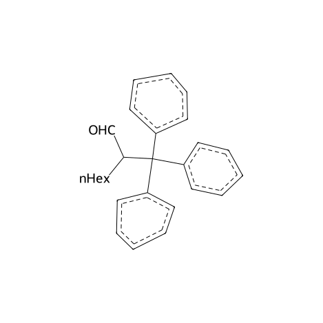 CCCCCCC(C=O)C(c1ccccc1)(c1ccccc1)c1ccccc1